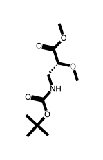 COC(=O)[C@@H](CNC(=O)OC(C)(C)C)OC